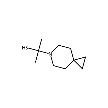 CC(C)(S)N1CCC2(CC1)CC2